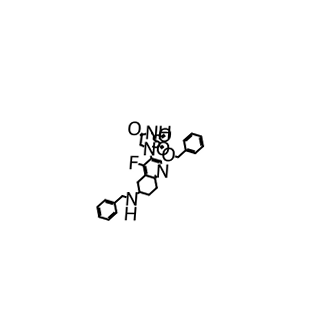 O=C1CN(c2c(OCc3ccccc3)nc3c(c2F)CC(NCc2ccccc2)CC3)S(=O)(=O)N1